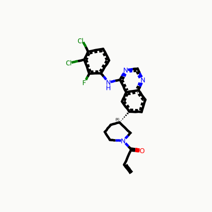 C=CC(=O)N1CCC[C@H](c2ccc3ncnc(Nc4ccc(Cl)c(Cl)c4F)c3c2)C1